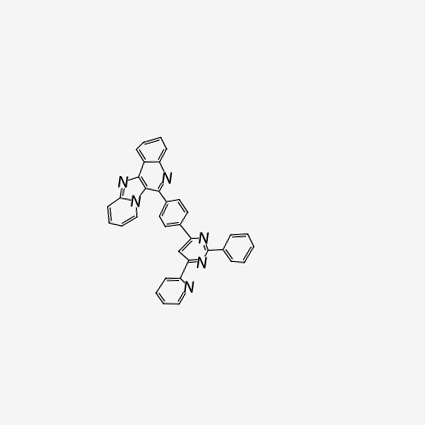 c1ccc(-c2nc(-c3ccc(-c4nc5ccccc5c5nc6ccccn6c45)cc3)cc(-c3ccccn3)n2)cc1